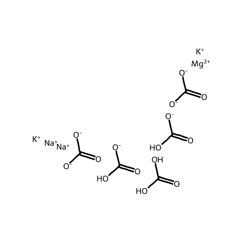 O=C(O)O.O=C([O-])O.O=C([O-])O.O=C([O-])[O-].O=C([O-])[O-].[K+].[K+].[Mg+2].[Na+].[Na+]